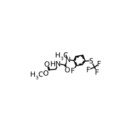 COC(=O)CNC(=O)N(C)c1ccc(SC(F)(F)F)cc1F